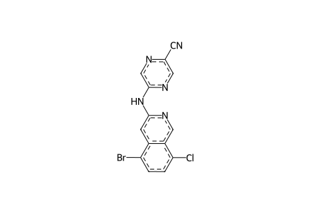 N#Cc1cnc(Nc2cc3c(Br)ccc(Cl)c3cn2)cn1